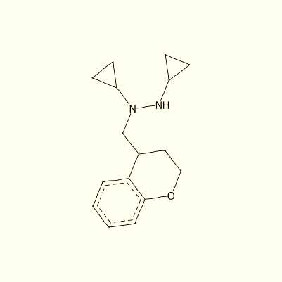 c1ccc2c(c1)OCCC2CN(NC1CC1)C1CC1